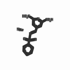 O=C(O)c1cc(C=NS(=O)(=O)c2ccccc2)cc(C(=O)O)n1.[Na].[Na]